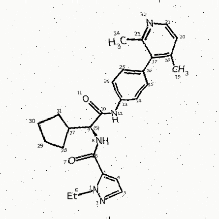 CCn1nccc1C(=O)N[C@H](C(=O)Nc1ccc(-c2c(C)ccnc2C)cc1)C1CCCC1